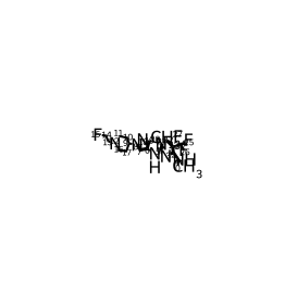 CNc1nc(Nc2cn(C3CCN(CCF)CC3)nc2C)ncc1C(F)(F)F